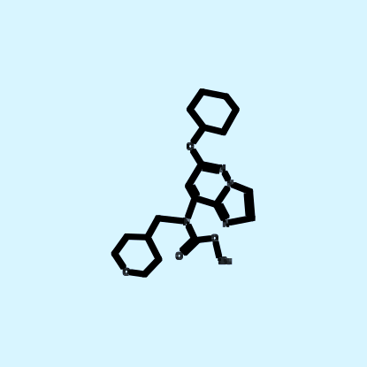 CC(C)(C)OC(=O)N(CC1CCOCC1)c1cc(OC2CCCCC2)nn2ccnc12